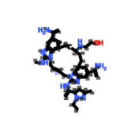 C=C(N)c1cc2c3c(c1)nc(NC)n3C/C=C/Cn1c(NC(=C)C3CC(C)=NN3CC)nc3cc(C(=C)N)cc(c31)CCC(NCCO)CC2